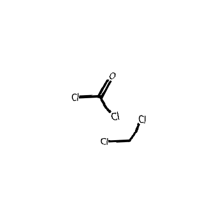 ClCCl.O=C(Cl)Cl